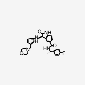 C[C@H](NC(=O)c1ccc2c(c1)C(=CNc1cccc(CN3CCOCC3)c1)C(=O)N2)c1ccc(F)cc1